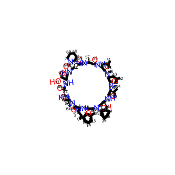 CC[C@H](C)[C@@H]1NC(=O)[C@H](Cc2ccccc2)N(C)C(O)[C@H](Cc2ccccc2)NC(=O)[C@H](C(C)C)N(C)C(=O)C(CC(C)C)N(C)C(=O)[C@H](CC(C)C)NC(=O)[C@H](C)NC(=O)C[C@@H](C(=O)N2CCCCC2)NC(=O)[C@H]([C@@H](C)O)NC(=O)CN[C@@](C)(C=O)N(C)C1=O